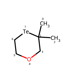 CC1(C)COCC[Te]1